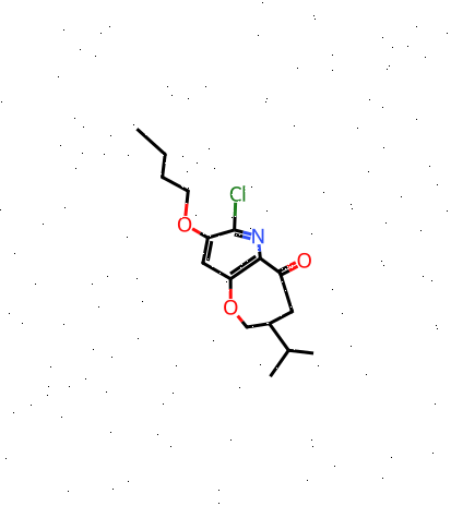 CCCCOc1cc2c(nc1Cl)C(=O)CC(C(C)C)CO2